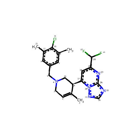 CC1=CCN(Cc2cc(C)c(Cl)c(C)c2)C[C@H]1c1cc(C(F)F)nc2ncnn12